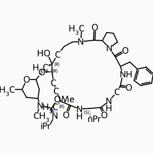 CCC[C@@H]1NC(=O)[C@H](C)CC[C@@H](OC2CC(N(C)/C(=N\C(C)C)OC)CC(C)O2)[C@](C)(O)CCCN(C)C(=O)C2CCCN2C(=O)C(Cc2ccccc2)NC(=O)CNC1=O